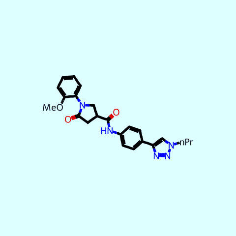 CCCn1cc(-c2ccc(NC(=O)C3CC(=O)N(c4ccccc4OC)C3)cc2)nn1